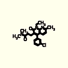 CCn1c(=O)c(CCC(=O)N(C)C)c(-c2cccc(Cl)c2)c2ccc(C)nc21